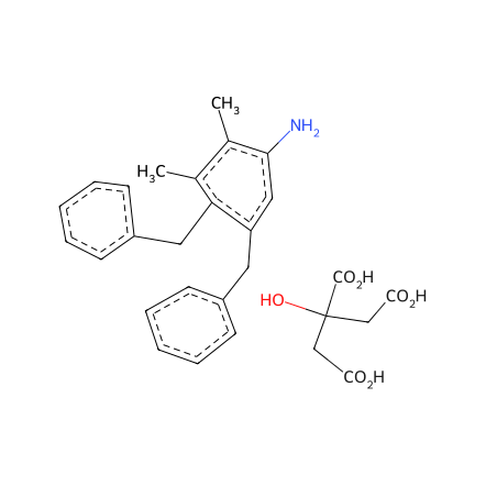 Cc1c(N)cc(Cc2ccccc2)c(Cc2ccccc2)c1C.O=C(O)CC(O)(CC(=O)O)C(=O)O